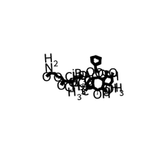 CCC(C)[C@@H](OC(C)(C)C(=O)COCC(N)=O)C(=O)O[C@H]1CC2[C@@H](OC(=O)c3ccccc3)C3[C@](C)(C(=O)[C@H](O)C(=C1C)C2(C)C)[C@@H](O)C[C@H]1OC[C@@]31OC(C)=O